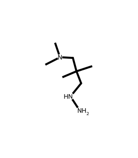 CN(C)CC(C)(C)CNN